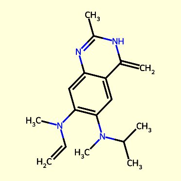 C=CN(C)c1cc2c(cc1N(C)C(C)C)C(=C)NC(C)=N2